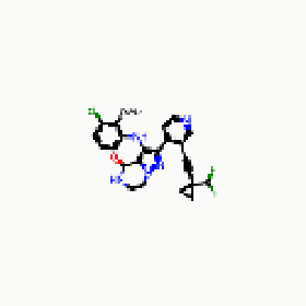 COc1c(Cl)cccc1Nc1c(-c2ccncc2C#CC2(C(F)F)CC2)nn2c1C(=O)NCC2